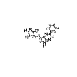 N#CC(=CCc1c[nH]c2ncc(-c3ccccc3)nc12)C(N)=O